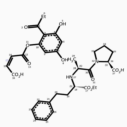 CCC(=O)c1c(O)cc(O)cc1OC(=O)/C=C\C(=O)O.CCOC(=O)[C@H](CCc1ccccc1)N[C@@H](C)C(=O)N1CCC[C@H]1C(=O)O